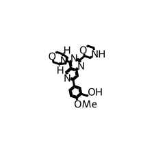 COc1ccc(-c2cc3nc(C4CNCCO4)nc(N4[C@@H]5CC[C@H]4COC5)c3cn2)cc1CO